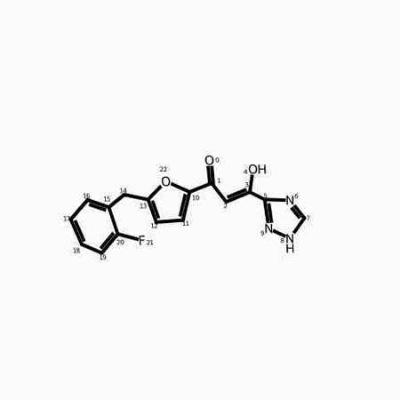 O=C(C=C(O)c1nc[nH]n1)c1ccc(Cc2ccccc2F)o1